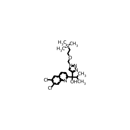 CC(C)C(O)(c1cn(COCC[Si](C)(C)C)nn1)c1ccc2cc(Cl)c(Cl)cc2n1